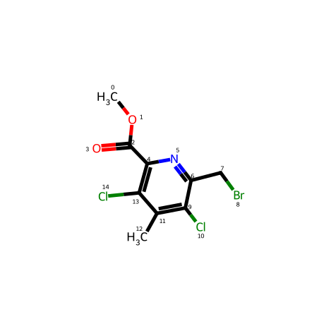 COC(=O)c1nc(CBr)c(Cl)c(C)c1Cl